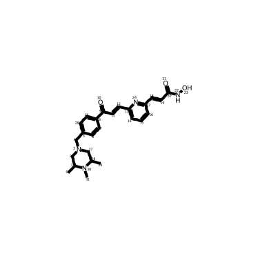 CC1CN(Cc2ccc(C(=O)/C=C/c3cccc(/C=C/C(=O)NO)n3)cc2)CC(C)N1C